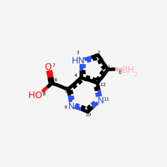 Bc1c[nH]c2c(C(=O)O)ncnc12